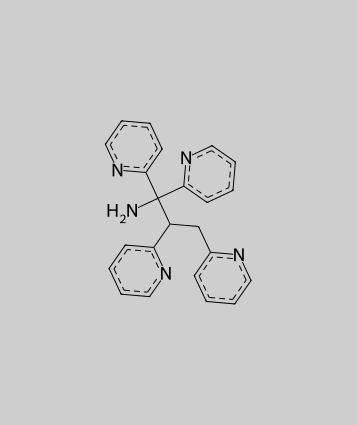 NC(c1ccccn1)(c1ccccn1)C(Cc1ccccn1)c1ccccn1